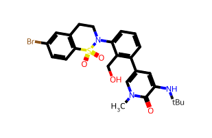 Cn1cc(-c2cccc(N3CCc4cc(Br)ccc4S3(=O)=O)c2CO)cc(NC(C)(C)C)c1=O